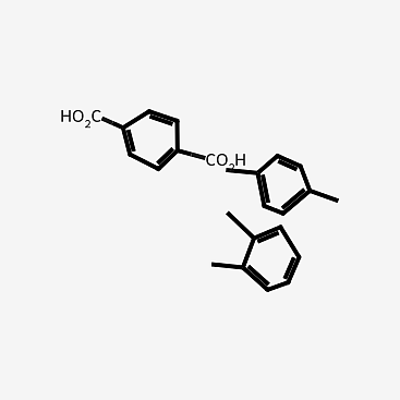 Cc1ccc(C)cc1.Cc1ccccc1C.O=C(O)c1ccc(C(=O)O)cc1